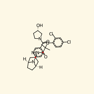 CC(C)(Oc1ccc(Cl)cc1Cl)C(=O)N[C@H]1C[C@H]2CC[C@@H](C1)N2c1ccc(C(=O)N2CC[C@H](O)C2)cn1